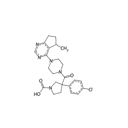 CC1CCc2ncnc(N3CCN(C(=O)C4(c5ccc(Cl)cc5)CCN(C(=O)O)C4)CC3)c21